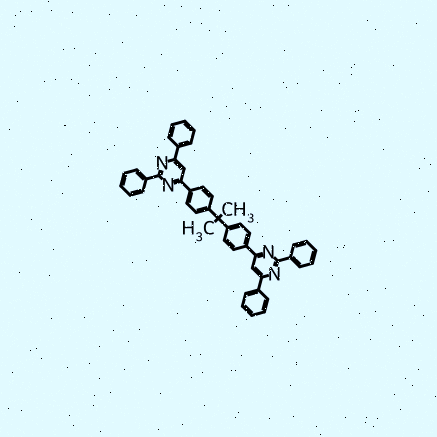 CC(C)(c1ccc(-c2cc(-c3ccccc3)nc(-c3ccccc3)n2)cc1)c1ccc(-c2cc(-c3ccccc3)nc(-c3ccccc3)n2)cc1